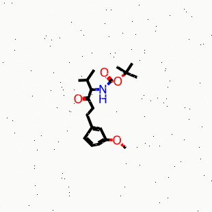 COc1cccc(CCC(=O)C(NC(=O)OC(C)(C)C)C(C)C)c1